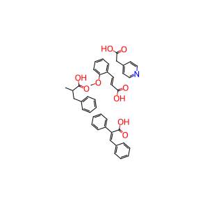 CC(Cc1ccccc1)C(=O)O.COc1ccccc1C=CC(=O)O.O=C(O)C(=Cc1ccccc1)c1ccccc1.O=C(O)Cc1ccncc1